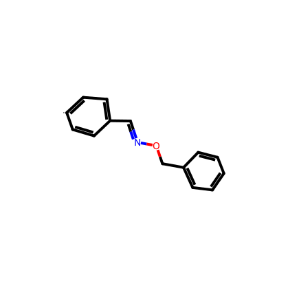 [c]1ccc(C=NOCc2ccccc2)cc1